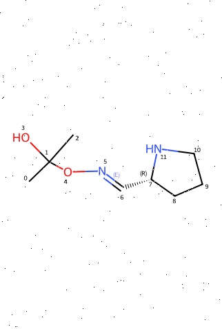 CC(C)(O)O/N=C/[C@H]1CCCN1